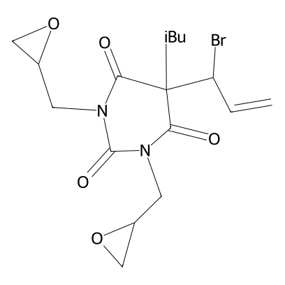 C=CC(Br)C1(C(C)CC)C(=O)N(CC2CO2)C(=O)N(CC2CO2)C1=O